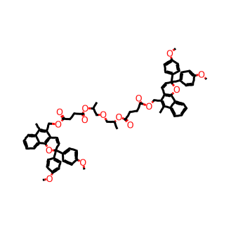 COc1ccc(C2(c3ccc(OC)cc3)C=Cc3c(COC(=O)CCC(=O)OC(C)COCC(C)OC(=O)CCC(=O)OCc4c5c(c6ccccc6c4C)OC(c4ccc(OC)cc4)(c4ccc(OC)cc4)C=C5)c(C)c4ccccc4c3O2)cc1